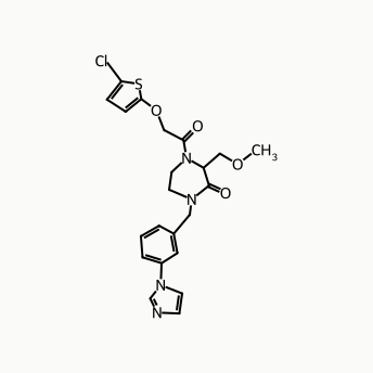 COCC1C(=O)N(Cc2cccc(-n3ccnc3)c2)CCN1C(=O)COc1ccc(Cl)s1